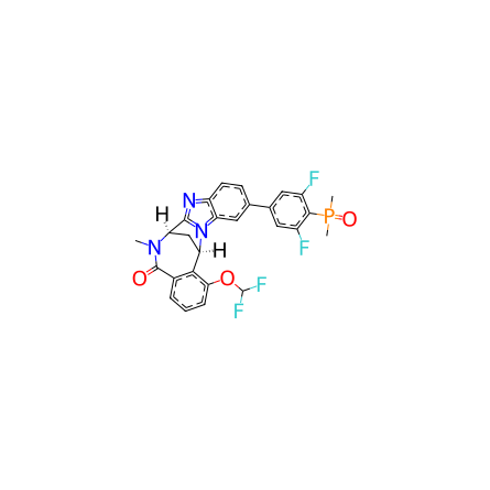 CN1C(=O)c2cccc(OC(F)F)c2[C@H]2C[C@@H]1c1nc3ccc(-c4cc(F)c(P(C)(C)=O)c(F)c4)cc3n12